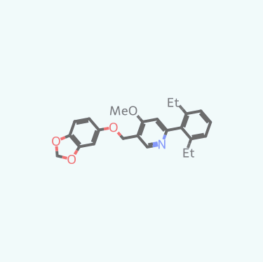 CCc1cccc(CC)c1-c1cc(OC)c(COc2ccc3c(c2)OCO3)cn1